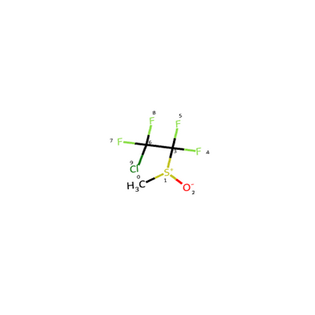 C[S+]([O-])C(F)(F)C(F)(F)Cl